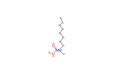 CCCCCCCCN(C)C(=O)OC